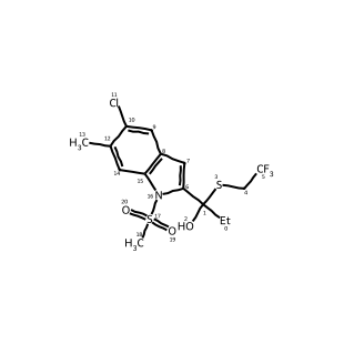 CCC(O)(SCC(F)(F)F)c1cc2cc(Cl)c(C)cc2n1S(C)(=O)=O